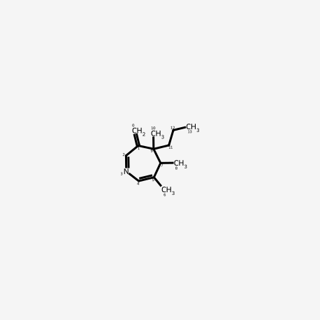 C=C1C=NC=C(C)C(C)C1(C)CCC